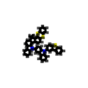 CC1(C)c2ccc3c4ccccc4n(-c4ccc5c(c4)c4ccccc4n5-c4ccc5sc6ccccc6c5c4)c3c2-c2ccc3c(c21)Sc1ccccc1S3